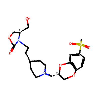 CS(=O)(=O)c1ccc2c(c1)O[C@@H](CN1CCC(CCN3C(=O)OC[C@H]3CO)CC1)CO2